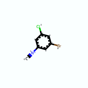 [C-]#[N+]c1cc(Cl)cc(Br)c1